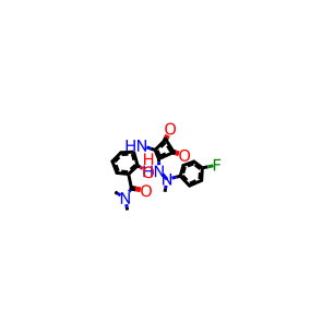 CN(C)C(=O)c1cccc(Nc2c(NN(C)c3ccc(F)cc3)c(=O)c2=O)c1O